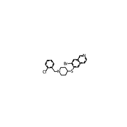 Clc1ccccc1CN1CCC(Sc2cc3ccncc3cc2Br)CC1